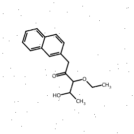 CCOC(C(=O)Cc1ccc2ccccc2c1)C(C)O